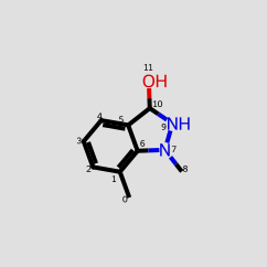 Cc1cccc2c1N(C)NC2O